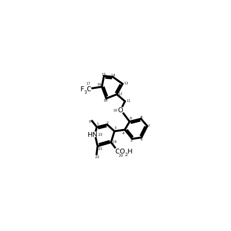 CC1=CC(c2ccccc2OCc2cccc(C(F)(F)F)c2)C(C(=O)O)=C(C)N1